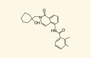 Cc1cccc(C(=O)Nc2cccc3c(=O)n(CC4(O)CCCCC4)ccc23)c1C